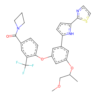 COCC(C)Oc1cc(Oc2ccc(C(=O)N3CCC3)cc2C(F)(F)F)cc(-c2ccc(-c3nccs3)[nH]2)c1